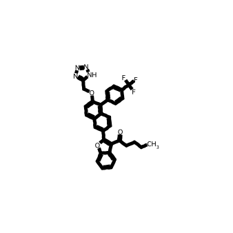 CCCCC(=O)c1c(-c2ccc3c(-c4ccc(C(F)(F)F)cc4)c(OCc4nnn[nH]4)ccc3c2)oc2ccccc12